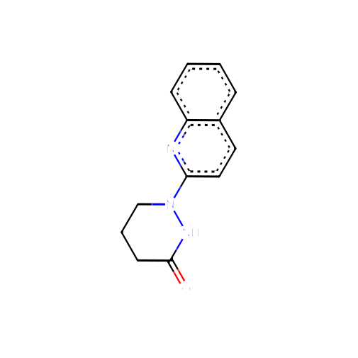 O=C1CCCN(c2ccc3ccccc3n2)N1